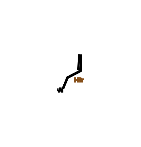 Br.C=C[CH2][Al]